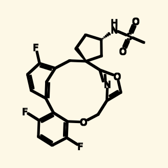 CS(=O)(=O)N[C@H]1CC[C@@]2(Cc3cc(ccc3F)-c3c(F)ccc(F)c3OCc3coc2n3)C1